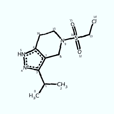 CC(C)c1n[nH]c2c1CN(S(=O)(=O)CCl)CC2